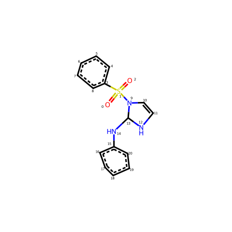 O=S(=O)(c1ccccc1)N1C=CNC1Nc1ccccc1